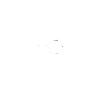 [Al][CH]1C=CC=CC1.[HH]